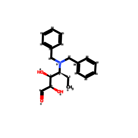 CC[C@H]([C@H](O)[C@@H](O)C=O)N(Cc1ccccc1)Cc1ccccc1